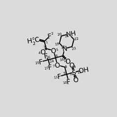 C=C(F)C(=O)OC(OCC(F)(F)S(=O)(=O)O)(C(=O)N1CCNCC1)C(F)(F)F